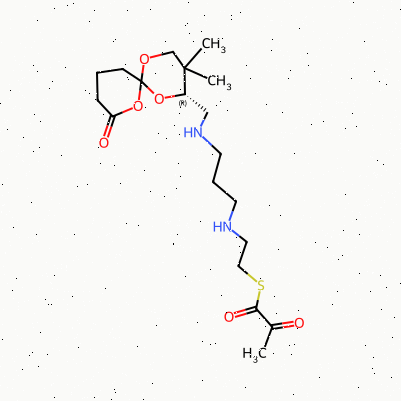 CC(=O)C(=O)SCCNCCCNC[C@@H]1OC2(CCCC(=O)O2)OCC1(C)C